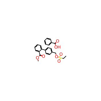 CCS(=O)(=O)OCc1ccc(-c2ccccc2C(=O)OC)cc1.O=C(O)c1ccccc1